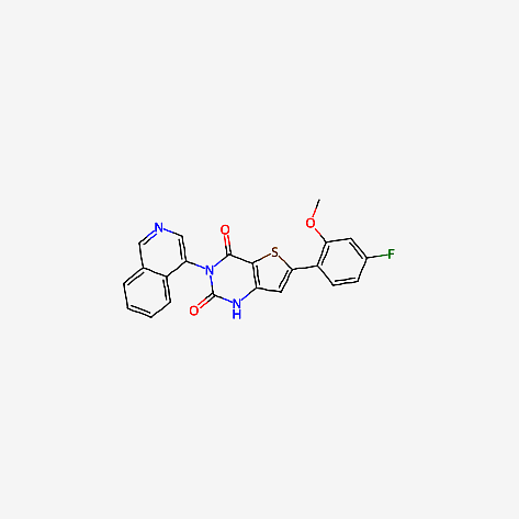 COc1cc(F)ccc1-c1cc2[nH]c(=O)n(-c3cncc4ccccc34)c(=O)c2s1